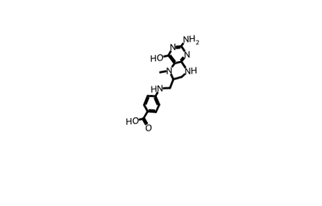 CN1c2c(O)nc(N)nc2NCC1CNc1ccc(C(=O)O)cc1